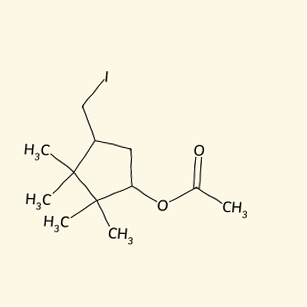 CC(=O)OC1CC(CI)C(C)(C)C1(C)C